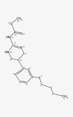 CCCCSc1cccc(C2CN=C(NC(=O)OC)NC2)c1